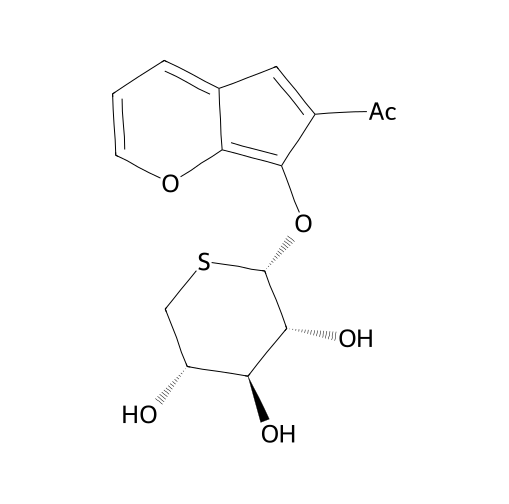 CC(=O)c1cc2cccoc-2c1O[C@H]1SC[C@@H](O)[C@H](O)[C@H]1O